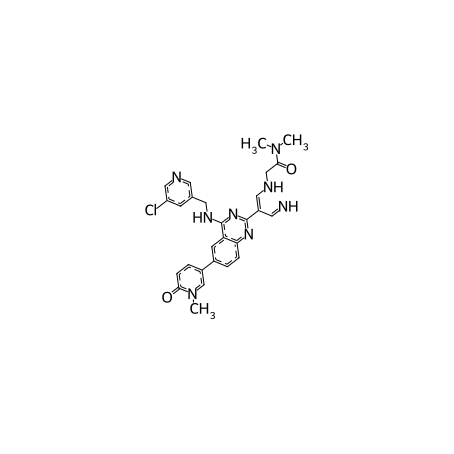 CN(C)C(=O)CN/C=C(\C=N)c1nc(NCc2cncc(Cl)c2)c2cc(-c3ccc(=O)n(C)c3)ccc2n1